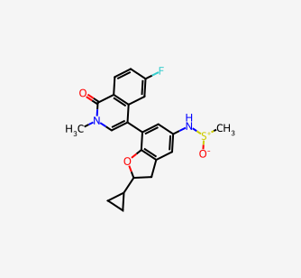 Cn1cc(-c2cc(N[S+](C)[O-])cc3c2OC(C2CC2)C3)c2cc(F)ccc2c1=O